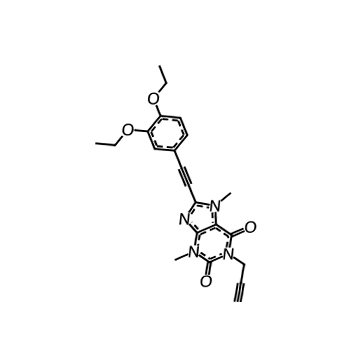 C#CCn1c(=O)c2c(nc(C#Cc3ccc(OCC)c(OCC)c3)n2C)n(C)c1=O